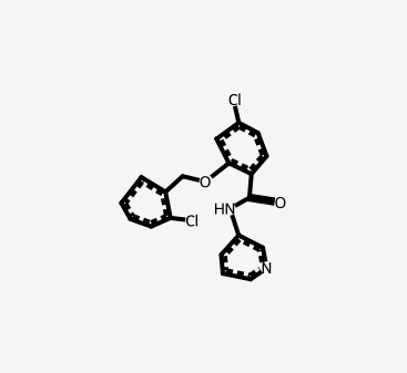 O=C(Nc1cccnc1)c1ccc(Cl)cc1OCc1ccccc1Cl